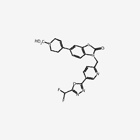 O=C(O)N1CC=C(c2ccc3c(c2)sc(=O)n3Cc2ccc(-c3nnc(C(F)F)o3)cn2)CC1